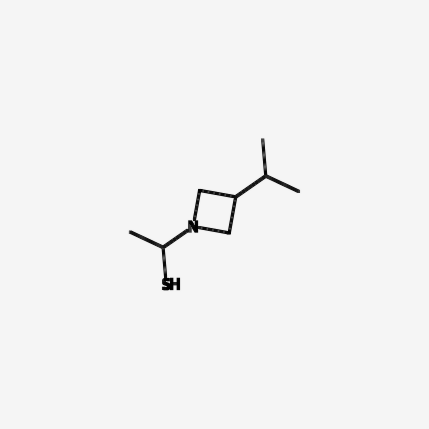 CC(C)C1CN(C(C)S)C1